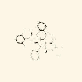 C[C@@H](C(=O)N[C@H](C(=O)N1CCc2ccccc2[C@H]1C(=O)Nc1c(F)cccc1F)C1CCCCC1)N(C)C(=O)OC(C)(C)C